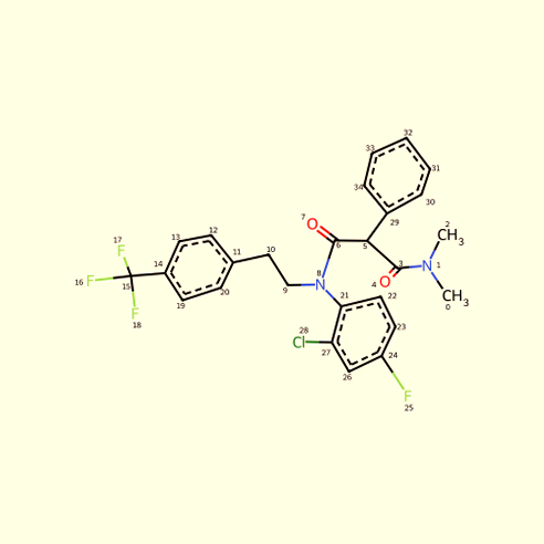 CN(C)C(=O)C(C(=O)N(CCc1ccc(C(F)(F)F)cc1)c1ccc(F)cc1Cl)c1ccccc1